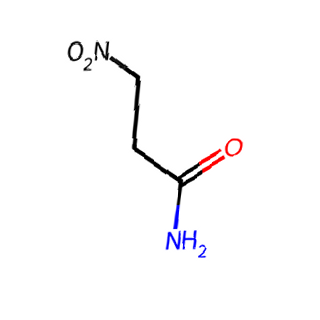 NC(=O)CC[N+](=O)[O-]